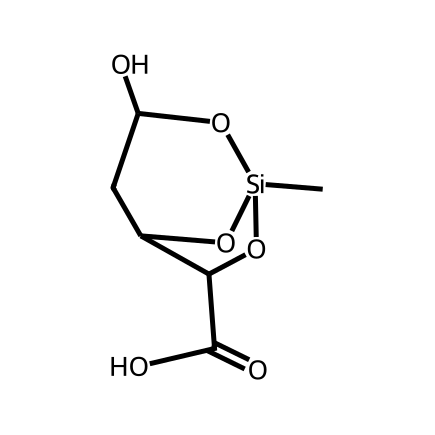 C[Si]12OC(O)CC(O1)C(C(=O)O)O2